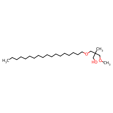 CCCCCCCCCCCCCCCCCCOCC(C)(CO)COC